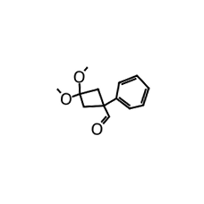 COC1(OC)CC(C=O)(c2ccccc2)C1